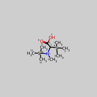 CN(C(C(=O)O)[Si](C)(C)C)[Si](C)(C)C